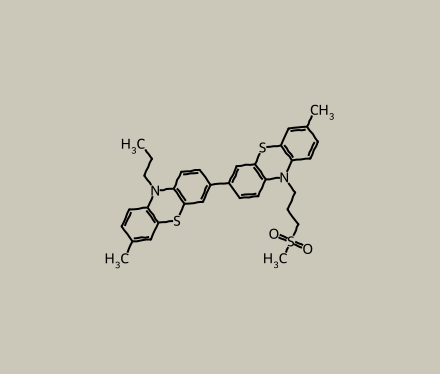 CCCN1c2ccc(C)cc2Sc2cc(-c3ccc4c(c3)Sc3cc(C)ccc3N4CCCS(C)(=O)=O)ccc21